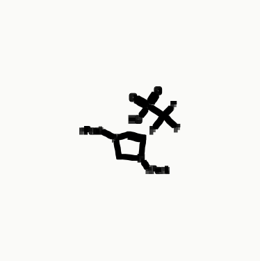 CCCCCN1C=CN(CCCCC)C1.O=S(=O)(O)C(F)(F)F